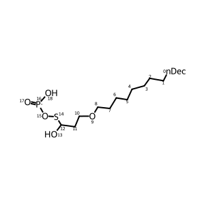 CCCCCCCCCCCCCCCCCCOCCC(O)SO[P](=O)O